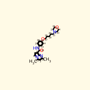 Cc1cc(C)n2ccc(C(=O)Nc3ccc(OCCCCCN4CCOCC4)cc3)c2n1